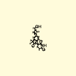 CC1(C)C(=O)N(C2CCC(=O)NC2=O)c2ccc(N3CC(CO)C3)cc21